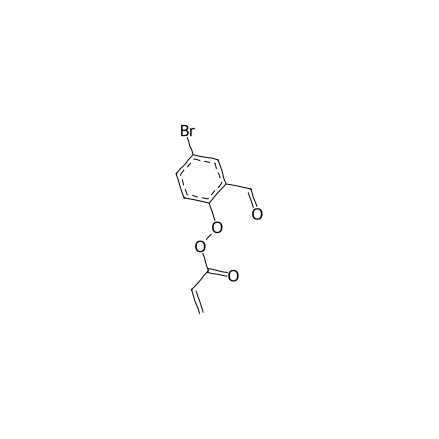 C=CC(=O)OOc1ccc(Br)cc1C=O